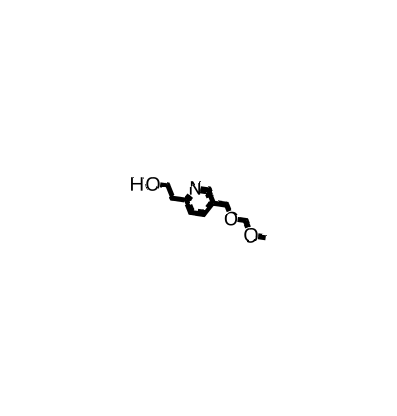 COCOCc1ccc(CCO)nc1